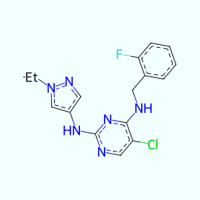 [CH2][CH]n1cc(Nc2ncc(Cl)c(NCc3ccccc3F)n2)cn1